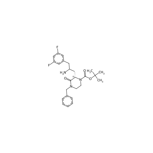 CC(C)(C)OC(=O)N1CCN(Cc2ccccc2)C(=O)[C@@H]1CC(N)Cc1cc(F)cc(F)c1